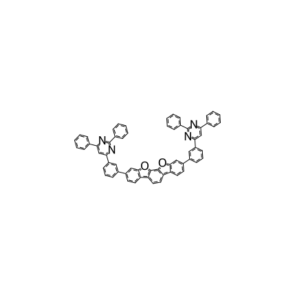 c1ccc(-c2cc(-c3cccc(-c4ccc5c(c4)oc4c5ccc5c6ccc(-c7cccc(-c8cc(-c9ccccc9)nc(-c9ccccc9)n8)c7)cc6oc54)c3)nc(-c3ccccc3)n2)cc1